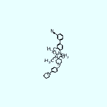 CCN(C(=O)N(C)c1ccc(-c2cccc(C#N)c2)cc1C)C1(C=O)CCN(Cc2ccc(N3CCCC3)cc2)CC1